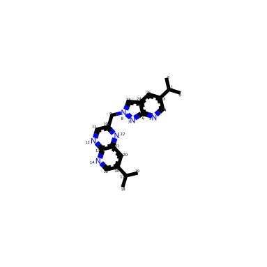 CC(C)c1cnc2nn(Cc3cnc4ncc(C(C)C)cc4n3)cc2c1